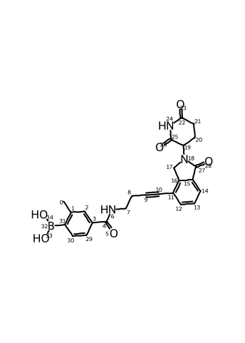 Cc1cc(C(=O)NCCC#Cc2cccc3c2CN(C2CCC(=O)NC2=O)C3=O)ccc1B(O)O